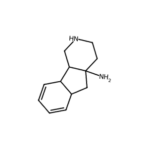 NC12CCNCC1C1C=CC=CC1C2